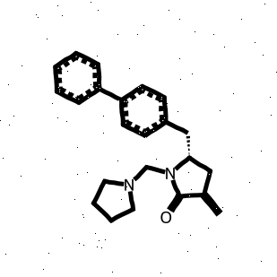 C=C1C[C@@H](Cc2ccc(-c3ccccc3)cc2)N(CN2CCCC2)C1=O